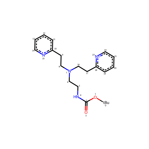 CC(C)(C)OC(=O)NCCN(CCc1ccccn1)CCc1ccccn1